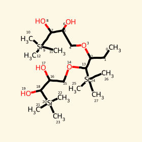 CCC(OCC(O)C(O)[Si](C)(C)C)C(OCC(O)C(O)[Si](C)(C)C)[Si](C)(C)C